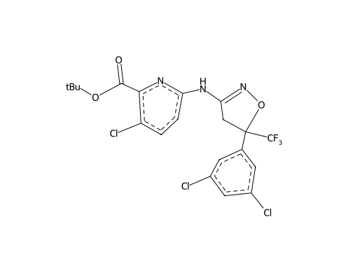 CC(C)(C)OC(=O)c1nc(NC2=NOC(c3cc(Cl)cc(Cl)c3)(C(F)(F)F)C2)ccc1Cl